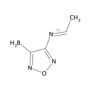 Bc1nonc1/N=C/C